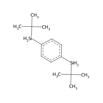 CC(C)(C)[SiH2]c1ccc([SiH2]C(C)(C)C)cc1